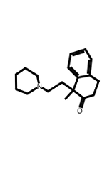 CC1(CCN2CCCCC2)C(=O)CCc2ccccc21